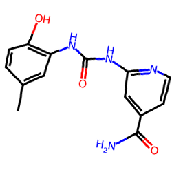 Cc1ccc(O)c(NC(=O)Nc2cc(C(N)=O)ccn2)c1